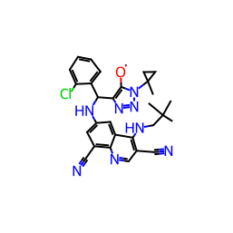 COc1c(C(Nc2cc(C#N)c3ncc(C#N)c(NCC(C)(C)C)c3c2)c2ccccc2Cl)nnn1C1(C)CC1